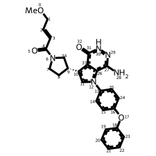 COC/C=C/C(=O)N1CC[C@@H](c2cn(-c3ccc(Oc4ccccc4)cc3)c3c(N)n[nH]c(=O)c23)C1